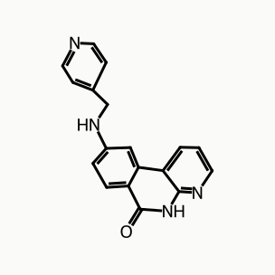 O=c1[nH]c2ncccc2c2cc(NCc3ccncc3)ccc12